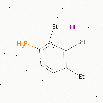 CCc1ccc(P)c(CC)c1CC.I